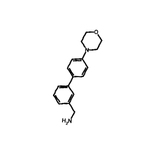 NCc1cccc(-c2ccc(N3CCOCC3)cc2)c1